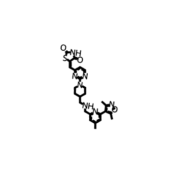 Cc1cc(CNCC2CCN(c3nccc(C=C4SC(=O)NC4=O)n3)CC2)nc(-c2c(C)noc2C)c1